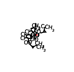 CC(C)C1CC1COC(=O)c1c(Cl)c(Cl)cc(Cl)c1OC(=O)C(=O)Oc1c(Cl)cc(Cl)c(Cl)c1C(=O)OCC1CC1C(C)C